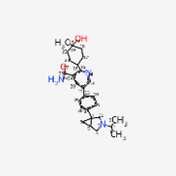 CC(C)N1CC2CC2(c2ccc(-c3cnc(C4CCC(C)(O)CC4)c(C(N)=O)c3)cc2)C1